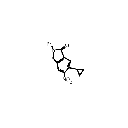 CC(C)N1Cc2cc([N+](=O)[O-])c(C3CC3)cc2C1=O